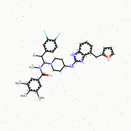 CCC(c1ccc(F)c(F)c1)C(N1CCC(Nc2nc3c(Cc4ccco4)cccc3[nH]2)CC1)N(C)C(=O)c1cc(OC)c(OC)c(OC)c1